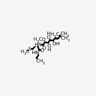 C=CCNC(=O)[C@H](CCSC)NC(=O)[C@H](OC)[C@H](O)[C@@H](O)[C@H](O)/C=C/C(C)(C)C